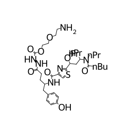 CCCCC(=O)N(CCC)C(CC(OCCC)c1nc(C(=O)NC(CCC(=O)NNC(=O)OCCOCCN)Cc2ccc(O)cc2)cs1)C(C)C